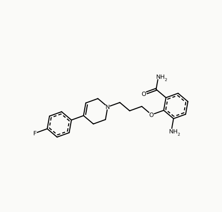 NC(=O)c1cccc(N)c1OCCCN1CC=C(c2ccc(F)cc2)CC1